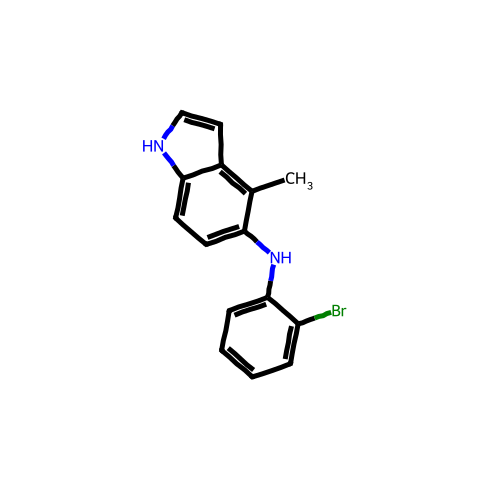 Cc1c(Nc2ccccc2Br)ccc2[nH]ccc12